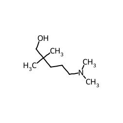 CN(C)CCCC(C)(C)CO